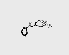 O=C(O)CC(CNc1ccccc1)CC(=O)O